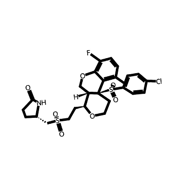 O=C1CC[C@@H](CS(=O)(=O)CC[C@@H]2OCC[C@@]3(S(=O)(=O)c4ccc(Cl)cc4)c4c(F)ccc(F)c4OC[C@@H]23)N1